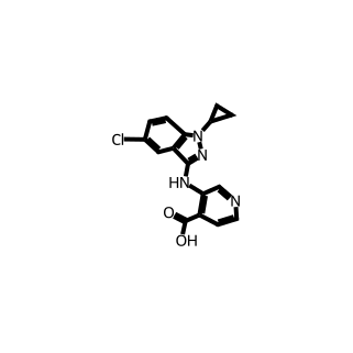 O=C(O)c1ccncc1Nc1nn(C2CC2)c2ccc(Cl)cc12